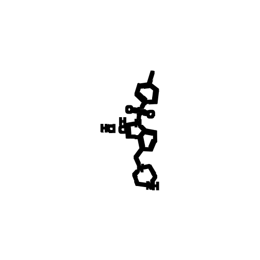 Cc1ccc(S(=O)(=O)n2ccc3c(CN4CCNCC4)cccc32)cc1.Cl.Cl